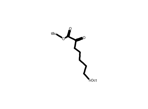 CCCCCCCCCCCCCC(=O)C(=O)OC(C)(C)C